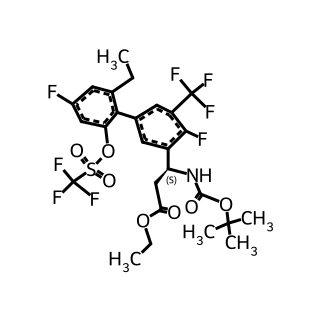 CCOC(=O)C[C@H](NC(=O)OC(C)(C)C)c1cc(-c2c(CC)cc(F)cc2OS(=O)(=O)C(F)(F)F)cc(C(F)(F)F)c1F